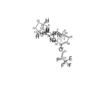 CC(C)(C)CC(=O)N1C[C@H]2CC[C@@H](C1)[C@@H]2Nc1nc2c(O/C=C(\F)C(F)(F)F)cccn2n1